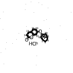 CC(C)N1C2CCC1CC(Oc1ccc3ccc(=O)oc3c1)C2.Cl